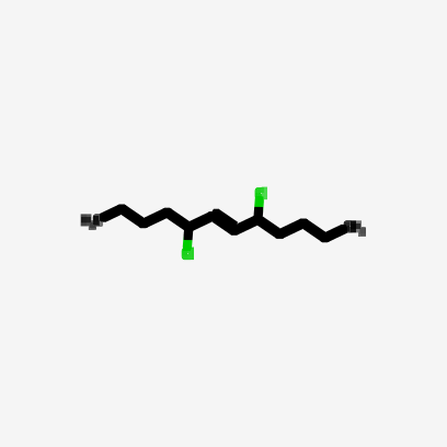 CCCCC(Cl)C=CC(Cl)CCCC